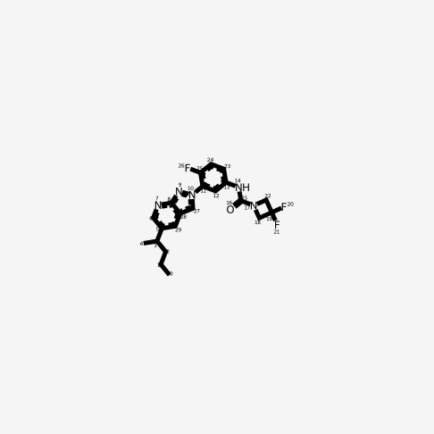 CCCC(C)c1cnc2nn(-c3cc(NC(=O)N4CC(F)(F)C4)ccc3F)cc2c1